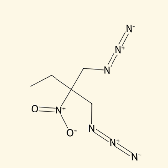 CCC(CN=[N+]=[N-])(CN=[N+]=[N-])[N+](=O)[O-]